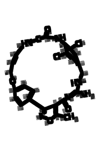 Cc1onc2c1C(=O)/N=C(\N)NCc1cc(Cl)c(c(Cl)c1)NC(=O)CNCC=CCOc1ccc-2cc1